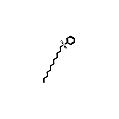 CCCCCCCCCCCCS(=O)(=O)c1cc[c]cc1